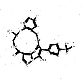 CC1CNC(=O)c2cnn3c(N)c(-c4ccc(C(F)(F)F)cc4)c(nc23)NCc2cc(F)cnc2O1